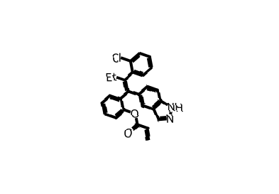 C=CC(=O)Oc1ccccc1/C(=C(\CC)c1ccccc1Cl)c1ccc2[nH]ncc2c1